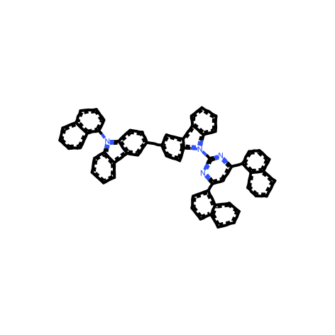 c1ccc2c(-c3cc(-c4cccc5ccccc45)nc(-n4c5ccccc5c5cc(-c6ccc7c(c6)c6ccccc6n7-c6cccc7ccccc67)ccc54)n3)cccc2c1